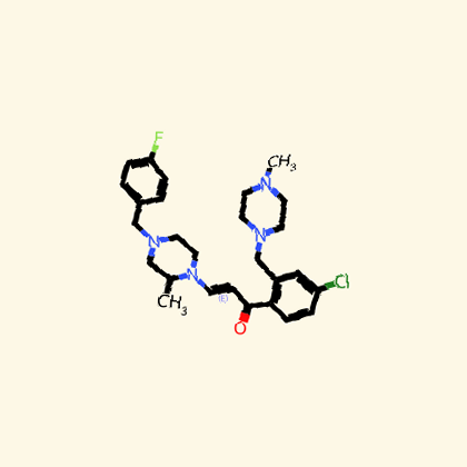 CC1CN(Cc2ccc(F)cc2)CCN1/C=C/C(=O)c1ccc(Cl)cc1CN1CCN(C)CC1